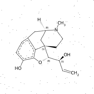 C=C[C@H](O)[C@@H]1Oc2c(O)ccc3c2[C@@]12CCN(C)[C@H](C3)C2